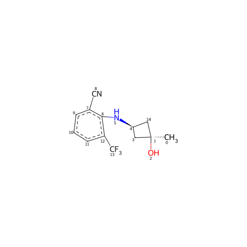 C[C@]1(O)C[C@@H](Nc2c(C#N)cccc2C(F)(F)F)C1